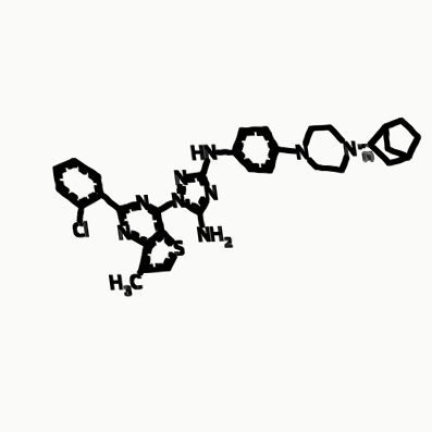 Cc1csc2c(-n3nc(Nc4ccc(N5CCN([C@H]6CC7CCC6C7)CC5)cc4)nc3N)nc(-c3ccccc3Cl)nc12